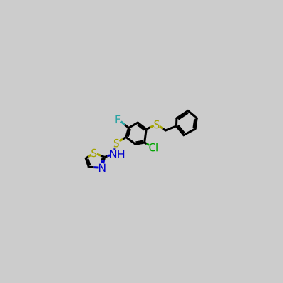 Fc1cc(SCc2ccccc2)c(Cl)cc1SNc1nccs1